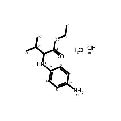 CCOC(=O)C(Nc1ccc(N)cc1)C(C)C.Cl.Cl